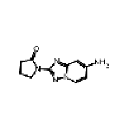 Nc1ccn2nc(N3CCCC3=O)nc2c1